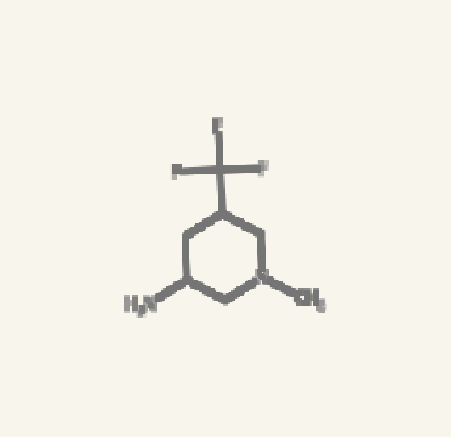 CN1CC(N)CC(C(F)(F)F)C1